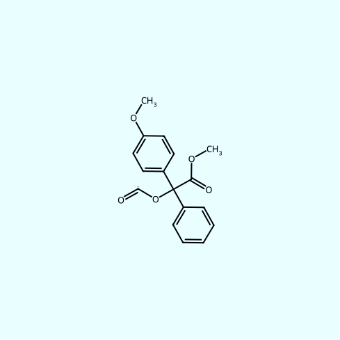 COC(=O)C(O[C]=O)(c1ccccc1)c1ccc(OC)cc1